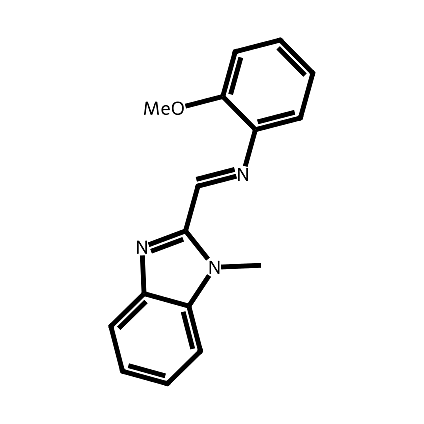 COc1ccccc1/N=C/c1nc2ccccc2n1C